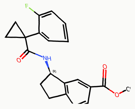 COC(=O)c1ccc2c(c1)[C@H](NC(=O)C1(c3ccccc3F)CC1)CC2